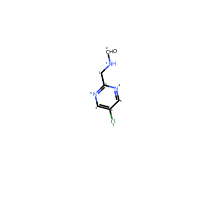 O=CNCc1ncc(Cl)cn1